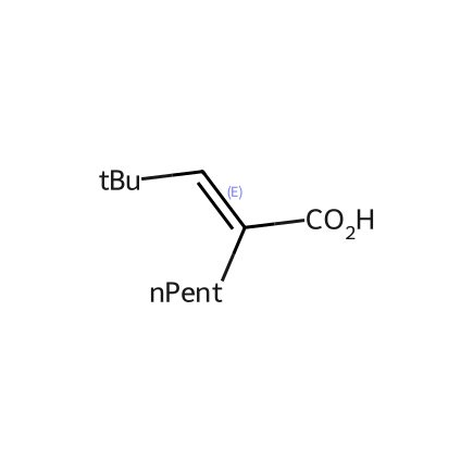 CCCCC/C(=C\C(C)(C)C)C(=O)O